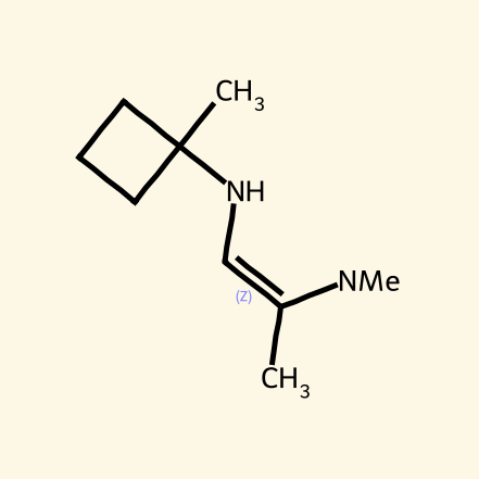 CN/C(C)=C\NC1(C)CCC1